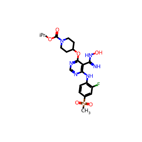 CC(C)OC(=O)N1CCC(Oc2ncnc(Nc3ccc(S(C)(=O)=O)cc3F)c2C(=N)NO)CC1